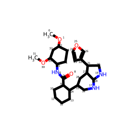 COC1CCC(NC(=O)C2CCCCC2C2CNC3NCC(c4ccoc4)C3C2)C(OC)C1